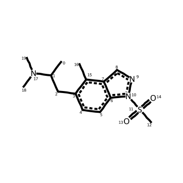 C[C](Cc1ccc2c(cnn2S(C)(=O)=O)c1C)N(C)C